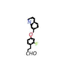 O=CCCc1ccc(OCc2ccc3cccnc3c2)cc1F